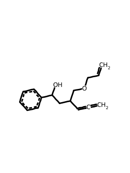 C=C=CC(COCC=C)CC(O)c1ccccc1